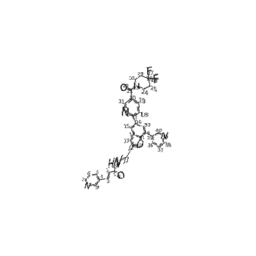 O=C(C=Cc1cccnc1)NCc1cc2cc(-c3ccc(C(=O)N4CCC(F)(F)CC4)cn3)cc(-c3cccnc3)c2o1